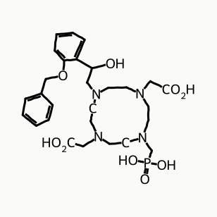 O=C(O)CN1CCN(CC(O)c2ccccc2OCc2ccccc2)CCN(CC(=O)O)CCN(CP(=O)(O)O)CC1